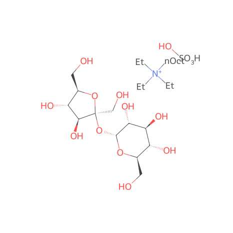 CCCCCCCC[N+](CC)(CC)CC.O=S(=O)(O)O.OC[C@H]1O[C@@](CO)(O[C@H]2O[C@H](CO)[C@@H](O)[C@H](O)[C@H]2O)[C@@H](O)[C@@H]1O